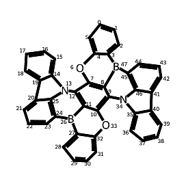 c1ccc2c(c1)Oc1c3c(c4c5c1-n1c6ccccc6c6cccc(c61)B5c1ccccc1O4)-n1c4ccccc4c4cccc(c41)B23